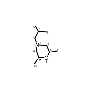 CC(C)CN1C[C@@H](C)O[C@@H](C)C1